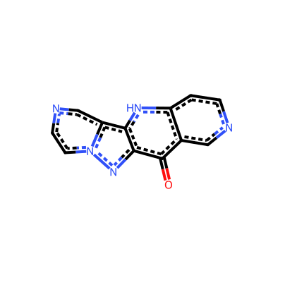 O=c1c2cnccc2[nH]c2c1nn1ccncc21